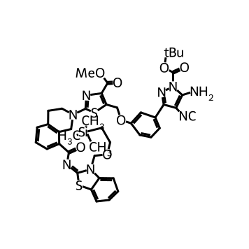 [C-]#[N+]c1c(-c2cccc(OCc3sc(N4CCc5cccc(C(=O)/N=c6/sc7ccccc7n6COCC[Si](C)(C)C)c5C4)nc3C(=O)OC)c2)nn(C(=O)OC(C)(C)C)c1N